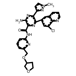 Cn1ccc(-c2nc(N)c(C(=O)Nc3cccc(COC4CCOC4)n3)nc2-c2cc(Cl)c3ncccc3c2)n1